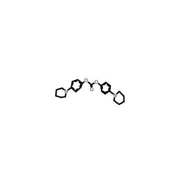 O=C(Oc1ccc(N2CCCCC2)cc1)Oc1ccc(N2CCCCC2)cc1